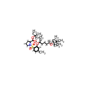 Cc1ccc(S(=O)(=O)N2CCC[C@H]2C(=O)OC(C)(C)C)c(O[C@H](C)CCCCO[Si](C)(C)C(C)(C)C)c1